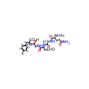 CC(=O)NC(CCC(N)=O)C(=O)NCC(=O)NC(CC=O)C(=O)NCC(=O)NC(Cc1ccc(C)cc1)C(=O)O